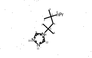 CCCC(C)(C)CC(C)(C)n1cnnc1